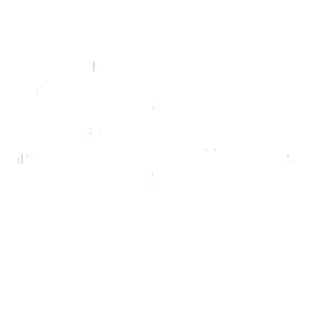 CC(=O)c1ccccc1OC(=O)O[C@H](OC(=O)C(C)C)C(C)C